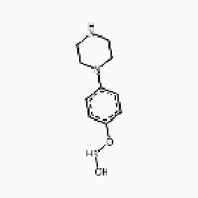 OBOc1ccc(N2CCNCC2)cc1